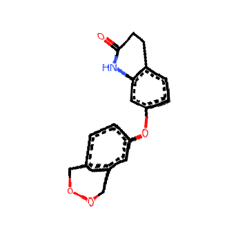 O=C1CCc2ccc(Oc3ccc4c(c3)COOC4)cc2N1